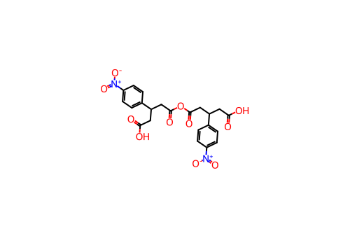 O=C(O)CC(CC(=O)OC(=O)CC(CC(=O)O)c1ccc([N+](=O)[O-])cc1)c1ccc([N+](=O)[O-])cc1